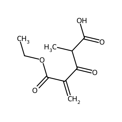 C=C(C(=O)OCC)C(=O)C(C)C(=O)O